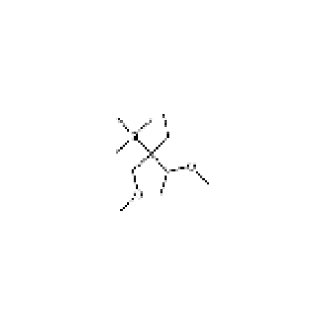 CCC(COC)(C(C)OC)[Si](C)(C)C